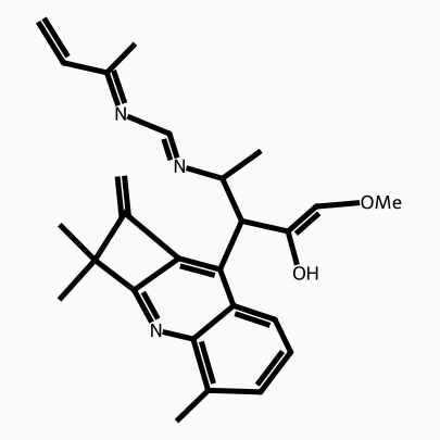 C=C/C(C)=N/C=N/C(C)C(/C(O)=C/OC)c1c2c(nc3c(C)cccc13)C(C)(C)C2=C